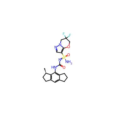 C[C@@H]1CCc2cc3c(c(NC(=O)N=S(N)(=O)c4cnn5c4OCC(F)(F)C5)c21)CCC3